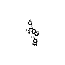 CN1CCC(OC2=CS(=O)(=O)c3cc4c(Nc5ccc6scnc6c5)ccnc4cc32)C1